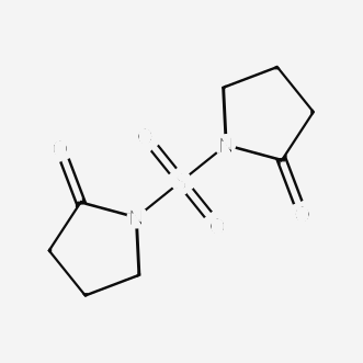 O=C1CCCN1S(=O)(=O)N1CCCC1=O